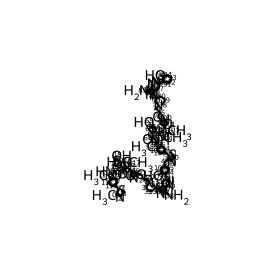 Cc1ncsc1-c1ccc([C@H](C)NC(=O)[C@@H]2C[C@@H](O)CN2C(=O)[C@H](c2cc(OCCN3CCCC(n4nc(N)c5nnc(-c6ccc(Cc7ncsc7-c7ccc([C@H](C)NC(=O)[C@@H]8C[C@@H](O)CN8C(=O)[C@@H](c8cc(OCCN9CCCC(n%10nc(N)c%11nnc(-c%12ccccc%12O)cc%11%10)C9)no8)C(C)C)cc7)cc6O)cc54)C3)no2)C(C)C)cc1